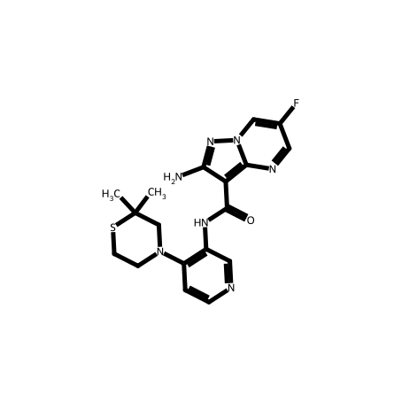 CC1(C)CN(c2ccncc2NC(=O)c2c(N)nn3cc(F)cnc23)CCS1